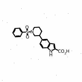 O=C(O)c1cc2cc(C3CCCN(S(=O)(=O)c4ccccc4)C3)ccc2[nH]1